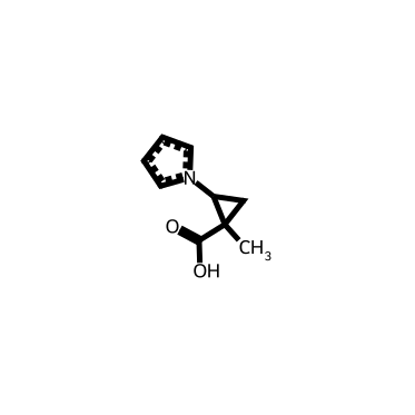 CC1(C(=O)O)CC1n1cccc1